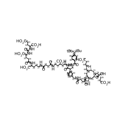 CC(C)(C)[SiH](c1ccc(C(=O)NC[C@H](C(=O)N[C@H](CCCCNC(=O)CCC(=O)NCCC[C@H](NC(=O)CC[C@H](NC(=O)N[C@@H](CCC(=O)O)C(=O)O)C(=O)O)C(=O)O)C(=O)O)n2cc(CNC(=O)CCP(=O)(O)CN3CCN(CPCCC(=O)O)CCN(CP(=O)(O)CCC(=O)O)CC3)nn2)cc1)C(C)(C)C